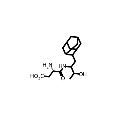 CC(O)C(CC1C2CC3CC(C2)CC1C3)NC(=O)[C@@H](N)CC(=O)O